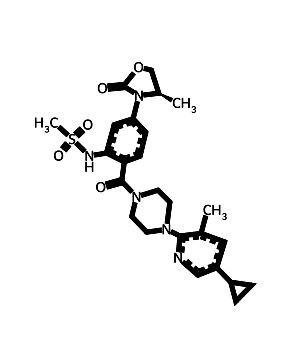 Cc1cc(C2CC2)cnc1N1CCN(C(=O)c2ccc(N3C(=O)OC[C@H]3C)cc2NS(C)(=O)=O)CC1